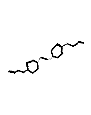 C=CCC[C@H]1CC[C@H](CC[C@H]2CC[C@H](OCCC)CC2)CC1